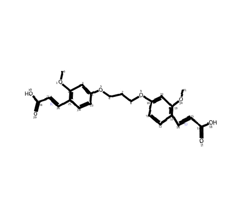 COc1cc(OCCCOc2ccc(/C=C/C(=O)O)c(OC)c2)ccc1/C=C/C(=O)O